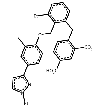 CCc1cccc(Cc2ccc(C(=O)O)cc2C(=O)O)c1COc1ccc(-c2ccn(CC)n2)cc1C